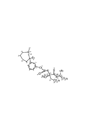 CCC1(c2cccc(OC(=O)C[C@@](O)(CC(=O)O)C(=O)N[C@H](C(=O)O)C(C)C)c2)CCCCN(C)C1